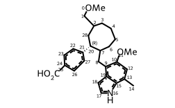 COCC1CCCCC(Cc2c(OC)cc(C)c3[nH]ccc23)[C@H](c2ccc(C(=O)O)cc2)C1